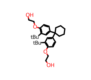 CC(C)(C)c1cc(C2(c3ccc(OCCO)c(C(C)(C)C)c3)CCCCC2)ccc1OCCO